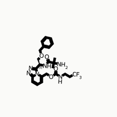 CC(C)(N)C(=O)N[C@H](COCc1ccccc1)c1nnc2cccc(COC(=O)NCCC(F)(F)F)n12